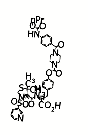 CCCOC(=O)Nc1ccc(C(=O)N2CCN(C(=O)Oc3ccc(C[C@H](NC(=O)[C@H]4N(S(=O)(=O)c5cccnc5)CSC4(C)C)C(=O)O)cc3)CC2)cc1